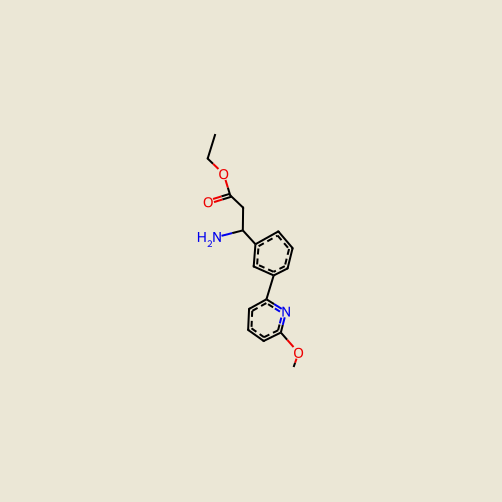 CCOC(=O)CC(N)c1cccc(-c2cccc(OC)n2)c1